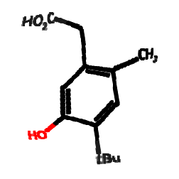 Cc1cc(C(C)(C)C)c(O)cc1CC(=O)O